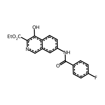 CCOC(=O)c1ncc2cc(NC(=O)c3ccc(F)cc3)ccc2c1O